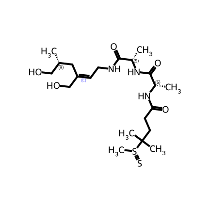 C[C@@H](CO)C/C(=C\CNC(=O)[C@H](C)NC(=O)[C@H](C)NC(=O)CCC(C)(C)S(C)=S)CO